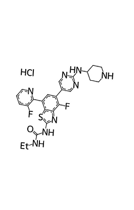 CCNC(=O)Nc1nc2c(F)c(-c3cnc(NC4CCNCC4)nc3)cc(-c3ncccc3F)c2s1.Cl